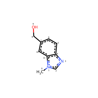 Cn1cnc2ccc(CO)cc21